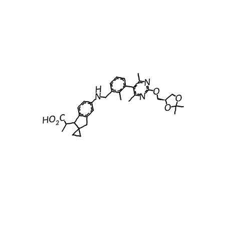 Cc1nc(OC[C@H]2COC(C)(C)O2)nc(C)c1-c1cccc(CNc2ccc3c(c2)CC2(CC2)C3C(C)C(=O)O)c1C